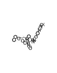 Cc1nn(C)c(COc2ccc(N3CCN(OC(C)C)CC3)cc2)c1-c1cccc2c(CCCOc3cccc4ccccc34)c(C(=O)O)n(CCN3CCOCC3)c12